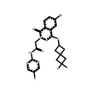 O=C(Cn1nc(OC2CC3(C2)CC(F)(F)C3)c2cc(Br)ccc2c1=O)Nc1ncc(F)cn1